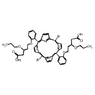 CCCOC(CCOc1ccccc1C1=C2C=CC(=N2)C(Br)=C2C=CC(=N2)C(c2ccccc2OCCC(CC(=O)O)OCCC)=C2C=CC(=N2)C(Br)=C2C=CC1=N2)CC(=O)O